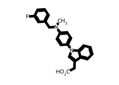 CN(Cc1cccc(F)c1)c1ccc(-n2cc(CC(=O)O)c3ccccc32)cc1